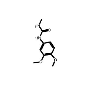 CNC(=O)Nc1ccc(OC)c(OC)c1